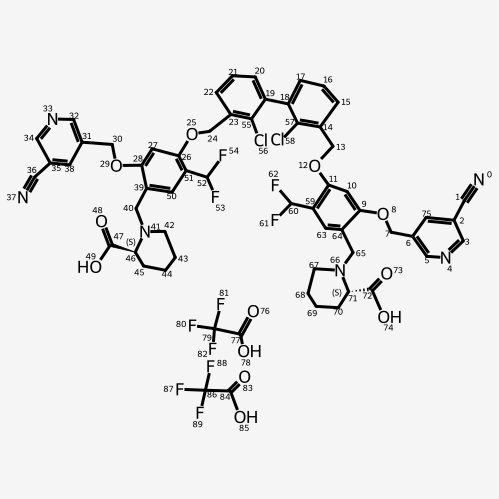 N#Cc1cncc(COc2cc(OCc3cccc(-c4cccc(COc5cc(OCc6cncc(C#N)c6)c(CN6CCCC[C@H]6C(=O)O)cc5C(F)F)c4Cl)c3Cl)c(C(F)F)cc2CN2CCCC[C@H]2C(=O)O)c1.O=C(O)C(F)(F)F.O=C(O)C(F)(F)F